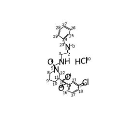 CN(CCNC(=O)N1CCCC(S(=O)(=O)c2cccc(Cl)c2)C1)Cc1ccccc1.Cl